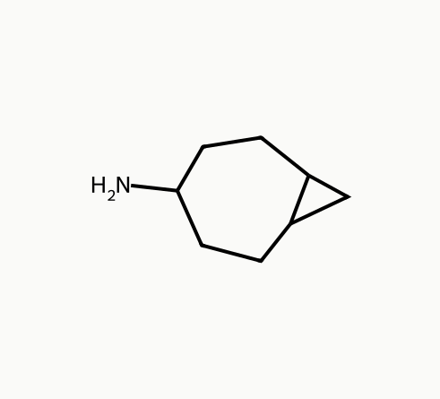 NC1CCC2CC2CC1